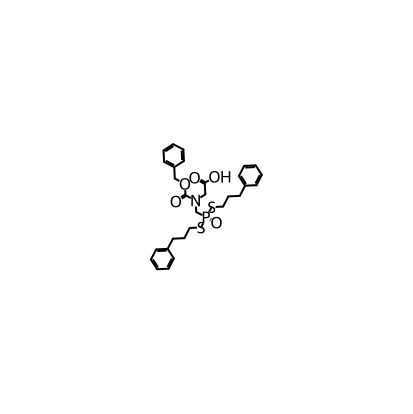 O=C(O)CN(CP(=O)(SCCCc1ccccc1)SCCCc1ccccc1)C(=O)OCc1ccccc1